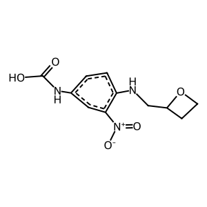 O=C(O)Nc1ccc(NCC2CCO2)c([N+](=O)[O-])c1